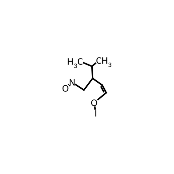 CC(C)C(/C=C\OI)CN=O